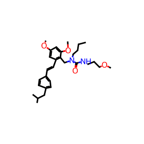 CCCCN(Cc1c(/C=C/c2ccc(CC(C)C)cc2)cc(OC)cc1OC)C(=O)NCCCOC